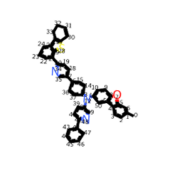 Cc1ccc2c(c1)oc1ccc(N(c3ccc(-c4ccc(-c5cccc6c7c(sc56)C=CCC7)nc4)cc3)c3ccc(-c4ccccc4)nc3)cc12